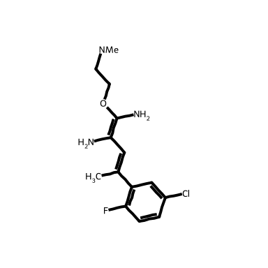 CNCCO/C(N)=C(N)/C=C(\C)c1cc(Cl)ccc1F